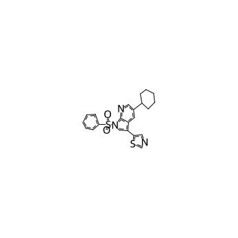 O=S(=O)(c1ccccc1)n1cc(-c2cncs2)c2cc(C3CCCCC3)cnc21